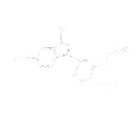 CCOC(=O)c1ccc(-n2cc(N)c3cc(OCC(C)C)ccc32)cc1OCOC